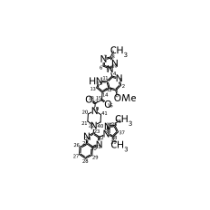 COc1cnc(-n2cnc(C)n2)c2[nH]cc(C(=O)C(=O)N3CCN(c4nc5ccccc5nc4-n4nc(C)cc4C)CC3)c12